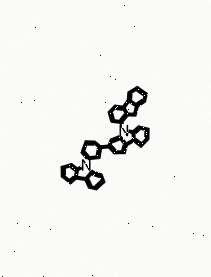 c1cc(-c2ccc3c4ccccc4n(-c4cccc5c4Cc4ccccc4-5)c3c2)cc(-n2c3ccccc3c3ccccc32)c1